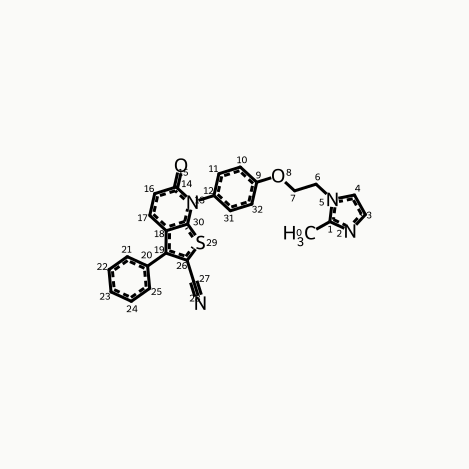 Cc1nccn1CCOc1ccc(-n2c(=O)ccc3c(-c4ccccc4)c(C#N)sc32)cc1